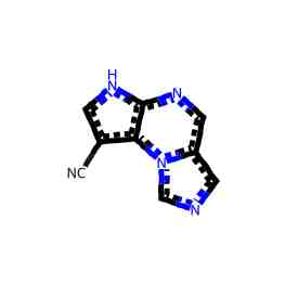 N#Cc1c[nH]c2ncc3cncn3c12